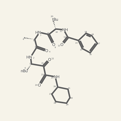 CCCC[C@H](NC(=O)[C@H](C)NC(=O)[C@@H](NC(=O)c1ccccc1)C(C)(C)C)C(=O)C(=O)NC1CCCCC1